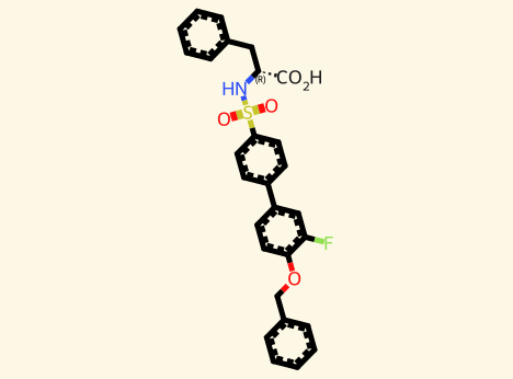 O=C(O)[C@@H](Cc1ccccc1)NS(=O)(=O)c1ccc(-c2ccc(OCc3ccccc3)c(F)c2)cc1